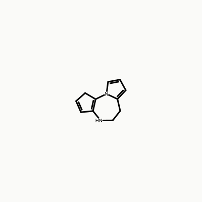 C1=CC2=C(C1)n1cccc1CCN2